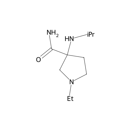 CCN1CCC(NC(C)C)(C(N)=O)C1